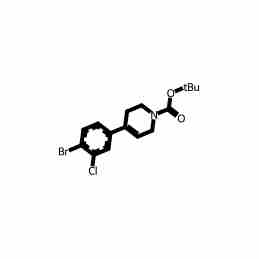 CC(C)(C)OC(=O)N1CC=C(c2ccc(Br)c(Cl)c2)CC1